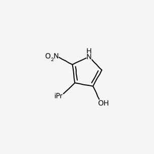 CC(C)c1c(O)c[nH]c1[N+](=O)[O-]